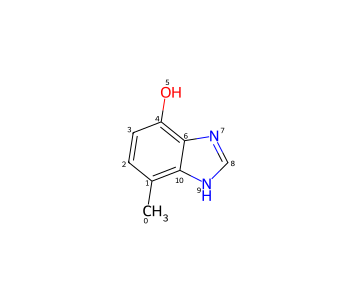 Cc1ccc(O)c2nc[nH]c12